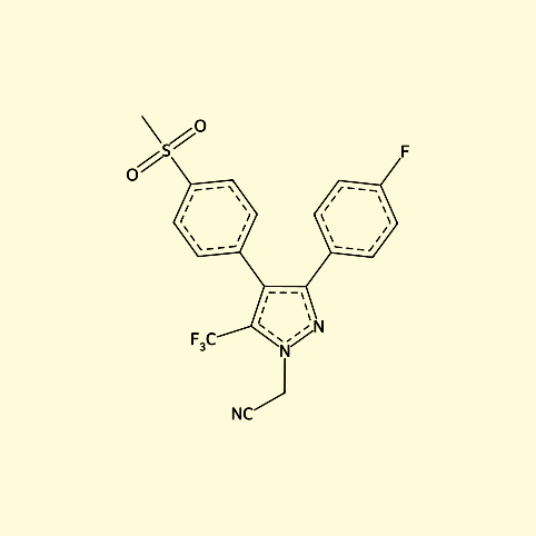 CS(=O)(=O)c1ccc(-c2c(-c3ccc(F)cc3)nn(CC#N)c2C(F)(F)F)cc1